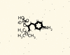 C[N+](C)(C)CC(Cc1ccc(N)cc1)OP(=O)([O-])O